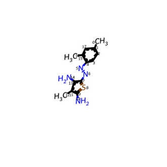 Cc1ccc(/N=N/c2sc(N)c(C)c2N)c(C)c1